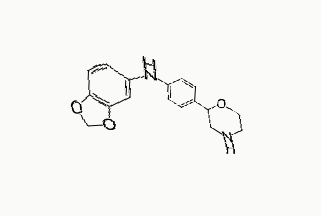 c1cc(C2CNCCO2)ccc1Nc1ccc2c(c1)OCO2